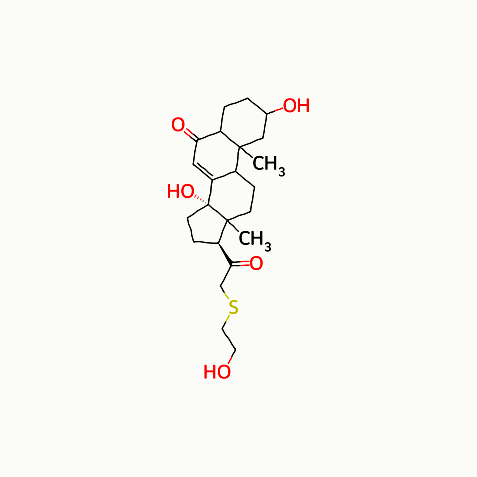 CC12CC(O)CCC1C(=O)C=C1C2CCC2(C)[C@@H](C(=O)CSCCO)CC[C@@]12O